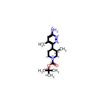 Cc1cc(N)nnc1C1CCN(C(=O)OC(C)(C)C)C[C@@H]1C